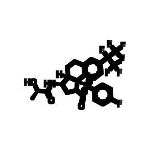 C[C@@H](O)C(=O)N[C@@H]1CC(C=O)[C@]2(S(=O)(=O)c3ccc(F)cc3)c3ccc(C(F)(C(F)(F)F)C(F)(F)F)cc3CC[C@@H]12